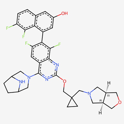 Oc1cc(-c2c(F)cc3c(N4CC5CCC(C4)N5)nc(OCC4(CN5C[C@H]6COC[C@H]6C5)CC4)nc3c2F)c2c(F)c(F)ccc2c1